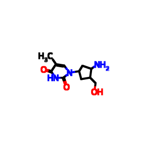 Cc1cn(C2CC(N)C(CO)C2)c(=O)[nH]c1=O